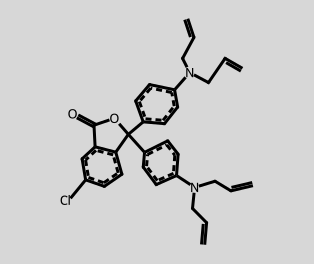 C=CCN(CC=C)c1ccc(C2(c3ccc(N(CC=C)CC=C)cc3)OC(=O)c3cc(Cl)ccc32)cc1